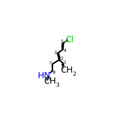 C=C/C(=C\C=C\Cl)CCNC